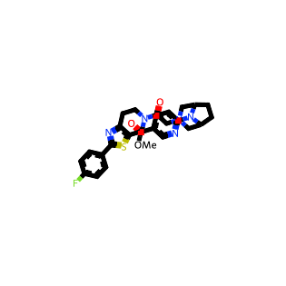 COC(=O)c1ccc(N2C3CCC2CN(CC(=O)N2CCc4nc(-c5ccc(F)cc5)sc4C2)C3)nc1